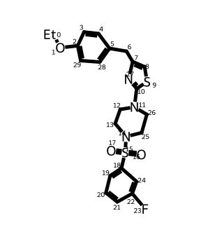 CCOc1ccc(Cc2csc(N3CCN(S(=O)(=O)c4cccc(F)c4)CC3)n2)cc1